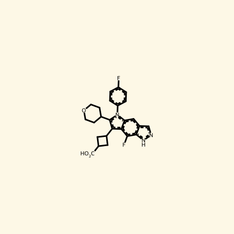 O=C(O)C1CC(c2c(C3CCOCC3)n(-c3ccc(F)cc3)c3cc4cn[nH]c4c(F)c23)C1